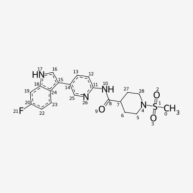 CS(=O)(=O)N1CCC(C(=O)Nc2ccc(-c3c[nH]c4cc(F)ccc34)cn2)CC1